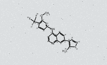 COc1nc(Nc2ccnc3cc(-c4nnsc4C)ccc23)ccc1C(F)(F)F